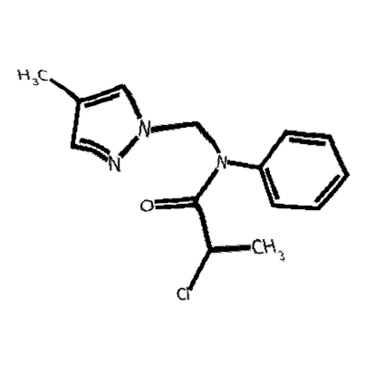 Cc1cnn(CN(C(=O)C(C)Cl)c2ccccc2)c1